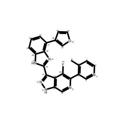 Cc1ccncc1-c1ncc2[nH]nc(-c3nc4c(-c5ccoc5)cccc4[nH]3)c2c1F